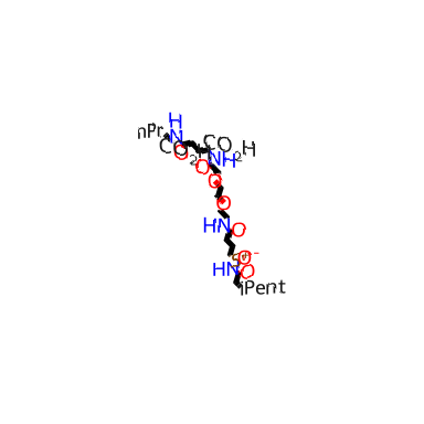 CCCC(C)CC(=O)N[S+]([O-])CCCC(=O)NCCOCCOCC(=O)NC(CCC(=O)NC(CCC)C(=O)O)C(=O)O